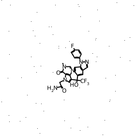 Cn1cnc2c(C(O)(c3ccc4c(cnn4-c4ccc(F)cc4)c3)C(F)(F)F)cn(CC(N)=O)c2c1=O